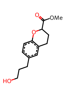 COC(=O)C1CCc2cc(CCCO)ccc2O1